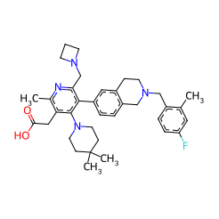 Cc1cc(F)ccc1CN1CCc2cc(-c3c(CN4CCC4)nc(C)c(CC(=O)O)c3N3CCC(C)(C)CC3)ccc2C1